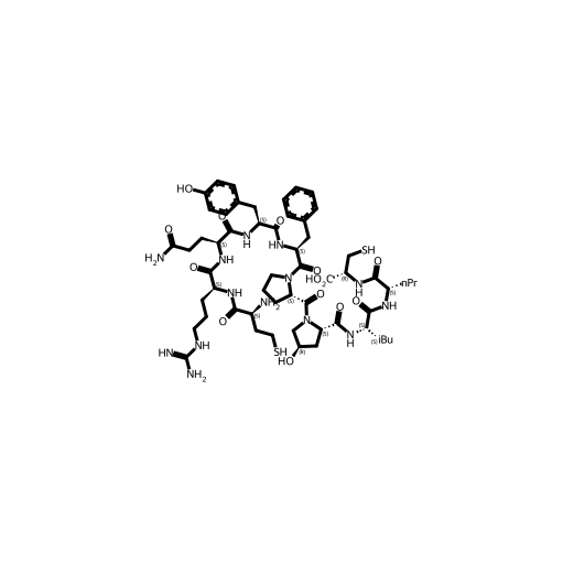 CCC[C@H](NC(=O)[C@@H](NC(=O)[C@@H]1C[C@@H](O)CN1C(=O)[C@@H]1CCCN1C(=O)[C@H](Cc1ccccc1)NC(=O)[C@H](Cc1ccc(O)cc1)NC(=O)[C@H](CCC(N)=O)NC(=O)[C@H](CCCNC(=N)N)NC(=O)[C@@H](N)CCS)[C@@H](C)CC)C(=O)N[C@@H](CS)C(=O)O